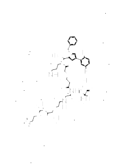 CC(C)(C)C(c1cc(-c2cc(F)ccc2F)cn1Cc1ccccc1)N(CCCN)C(=O)CSCCC(=O)NC(CNC(=O)CSCC(NC(=O)OCC[Si](C)(C)C)C(=O)O)C(=O)O.O=C(O)C(F)(F)F